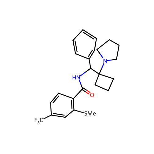 CSc1cc(C(F)(F)F)ccc1C(=O)NC(c1ccccc1)C1(N2CCCC2)CCC1